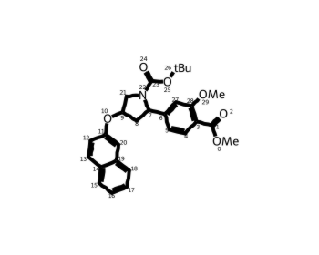 COC(=O)c1ccc(C2CC(Oc3ccc4ccccc4c3)CN2C(=O)OC(C)(C)C)cc1OC